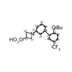 CC(C)COc1ccc(C(F)(F)F)cc1-c1cccc(N2CC(C(=O)O)C2)c1